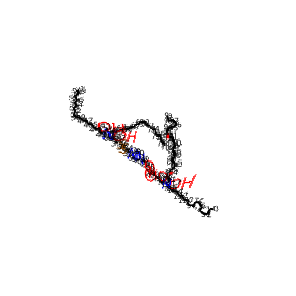 CC/C=C\C/C=C\C/C=C\CCCCCC[C@@H](O)CN(CCCCC(=O)OCCN1CCN(CCSSCCCN(C[C@@H](O)CCCCCC/C=C\CCCCCCCC)C[C@@H](O)CCCCCC/C=C\CCCCCCCC)CC1)C[C@H](O)CCCCCC/C=C\C/C=C\C/C=C\CC